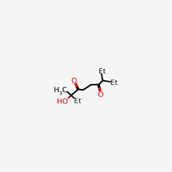 CCC(CC)C(=O)CCC(=O)C(C)(O)CC